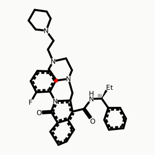 CC[C@H](NC(=O)c1c(CN2CCN(CCN3CCCCC3)CC2)n(-c2ccccc2F)c(=O)c2ccccc12)c1ccccc1